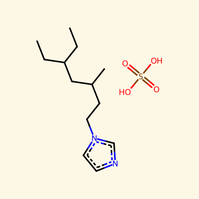 CCC(CC)CC(C)CCn1ccnc1.O=S(=O)(O)O